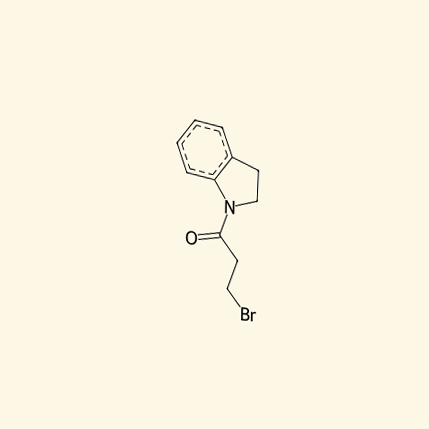 O=C(CCBr)N1CCc2ccccc21